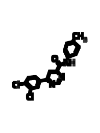 Cc1ccc(NC(=O)c2cc(-c3ccc(Cl)c(Cl)c3)ncn2)cc1